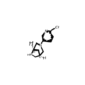 Clc1ccc(N2C[C@H]3CN[C@H](C3)C2)cn1